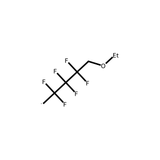 [CH2]C(F)(F)C(F)(F)C(F)(F)COCC